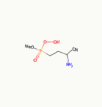 COP(=O)(CCC(N)C#N)OO